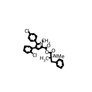 CN[C@@](C)(Cc1ccccc1)C(=O)OC(=O)c1cc(-c2ccccc2Cl)c(-c2ccc(Cl)cc2)n1C